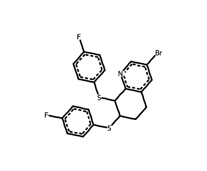 Fc1ccc(SC2CCc3cc(Br)cnc3C2Sc2ccc(F)cc2)cc1